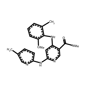 CNC(=O)c1cnc(Nc2ccc(C)cn2)cc1Nc1c(C)cccc1OC